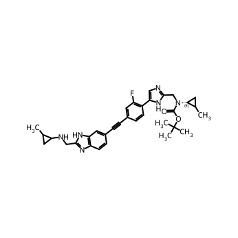 CC1CC1NCc1nc2ccc(C#Cc3ccc(-c4cnc(CN(C(=O)OC(C)(C)C)[C@@H]5CC5C)[nH]4)c(F)c3)cc2[nH]1